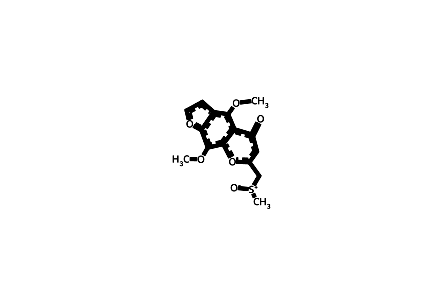 COc1c2occc2c(OC)c2c(=O)cc(C[S+](C)[O-])oc12